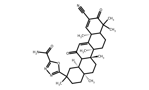 CC1(c2nnc(C(N)=O)o2)CC[C@]2(C)CC[C@]3(C)C(C(=O)C=C4[C@@]5(C)C=C(C#N)C(=O)C(C)(C)C5CC[C@]43C)[C@@H]2C1